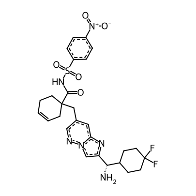 N[C@H](c1cn2ncc(CC3(C(=O)NS(=O)(=O)c4ccc([N+](=O)[O-])cc4)CC=CCC3)cc2n1)C1CCC(F)(F)CC1